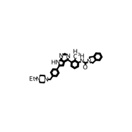 CCN1CCN(Cc2ccc(-c3cc4c(-c5cccc(NC(=O)N6Cc7ccccc7C6)c5C)ncnc4[nH]3)cc2)CC1